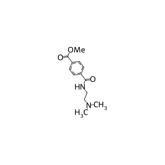 COC(=O)c1ccc(C(=O)NCCN(C)C)cc1